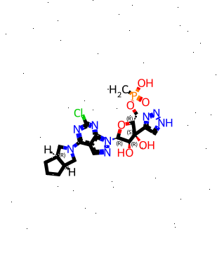 [CH2]P(=O)(O)OC[C@H]1O[C@@H](n2ncc3c(N4C[C@H]5CCC[C@H]5C4)nc(Cl)nc32)[C@H](O)[C@@]1(O)c1c[nH]nn1